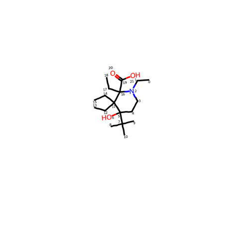 CCN1CCC(O)(C(C)(C)C)C(CC)(CC)C1(CC)C(=O)O